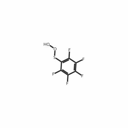 OOSc1c(F)c(F)c(F)c(F)c1F